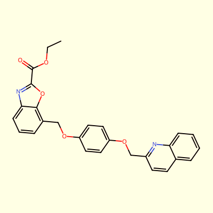 CCOC(=O)c1nc2cccc(COc3ccc(OCc4ccc5ccccc5n4)cc3)c2o1